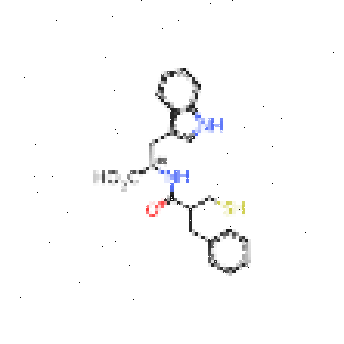 O=C(N[C@H](Cc1c[nH]c2ccccc12)C(=O)O)C(CS)Cc1ccccc1